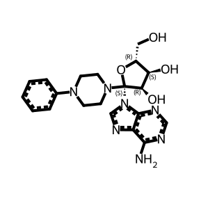 Nc1ncnc2c1ncn2[C@]1(N2CCN(c3ccccc3)CC2)O[C@H](CO)[C@@H](O)[C@H]1O